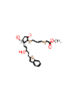 COC(=O)CSCCCS[C@H]1C(=O)C[C@@H](CO)[C@@H]1C=C[C@H](O)CCc1cc2ccccc2s1